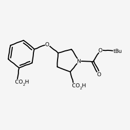 CC(C)(C)OC(=O)N1CC(Oc2cccc(C(=O)O)c2)CC1C(=O)O